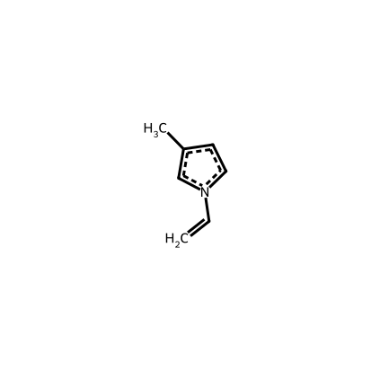 C=Cn1ccc(C)c1